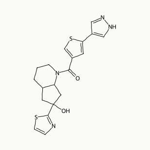 O=C(c1csc(-c2cn[nH]c2)c1)N1CCCC2CC(O)(c3nccs3)CC21